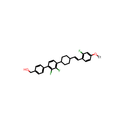 CCOc1ccc(/C=C/C2CCC(c3ccc(-c4ccc(CO)cc4)c(F)c3F)CC2)c(F)c1